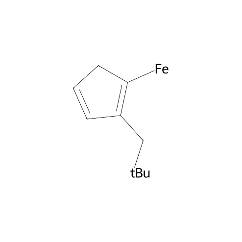 CC(C)(C)CC1=[C]([Fe])CC=C1